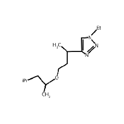 CCn1cc(C(C)CCOC(C)CC(C)C)nn1